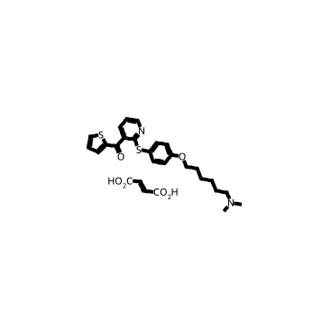 CN(C)CCCCCCOc1ccc(Sc2ncccc2C(=O)c2cccs2)cc1.O=C(O)C=CC(=O)O